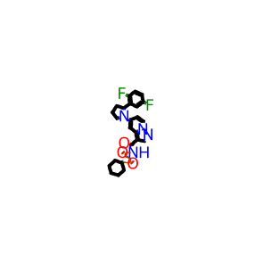 O=C(NS(=O)(=O)C1CCCCC1)c1cnn2ccc(N3CCCC3c3cc(F)ccc3F)cc12